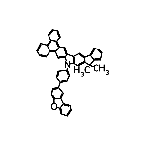 CC1(C)c2ccccc2-c2cc3c4cc5c6ccccc6c6ccccc6c5cc4n(-c4ccc(-c5ccc6oc7ccccc7c6c5)cc4)c3cc21